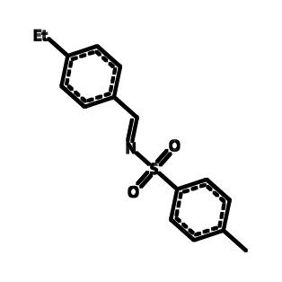 CCc1ccc(C=NS(=O)(=O)c2ccc(C)cc2)cc1